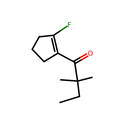 CCC(C)(C)C(=O)C1=C(F)CCC1